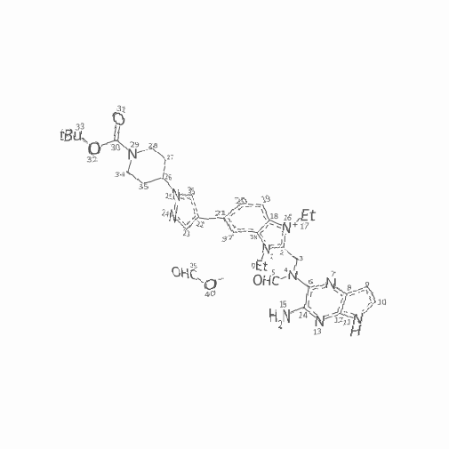 CCn1c(CN(C=O)c2nc3cc[nH]c3nc2N)[n+](CC)c2ccc(-c3cnn(C4CCN(C(=O)OC(C)(C)C)CC4)c3)cc21.O=C[O-]